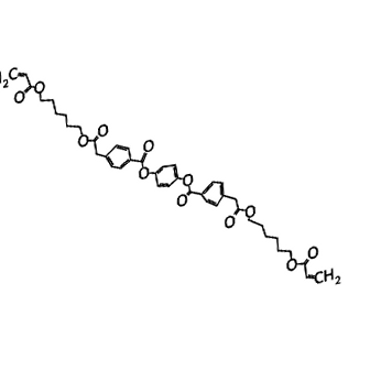 C=CC(=O)OCCCCCCOC(=O)Cc1ccc(C(=O)Oc2ccc(OC(=O)c3ccc(CC(=O)OCCCCCCOC(=O)C=C)cc3)cc2)cc1